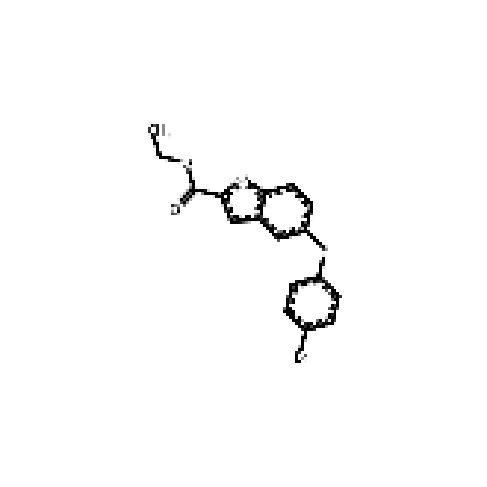 CCOC(=O)c1cc2cc(Sc3ccc(Br)cc3)ccc2o1